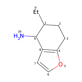 CCC1CCc2occc2C1N